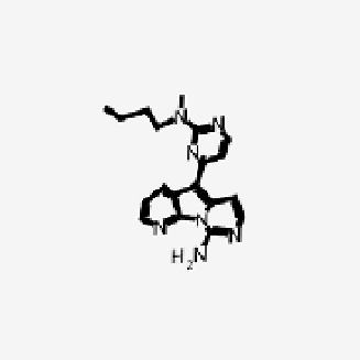 CCCCN(C)c1nccc(-c2c3cccnc3n3c(N)nccc23)n1